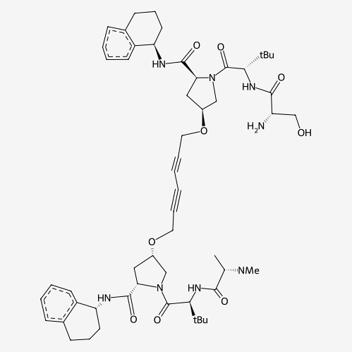 CN[C@@H](C)C(=O)N[C@H](C(=O)N1C[C@@H](OCC#CC#CCO[C@H]2C[C@@H](C(=O)N[C@@H]3CCCc4ccccc43)N(C(=O)[C@@H](NC(=O)[C@@H](N)CO)C(C)(C)C)C2)C[C@H]1C(=O)N[C@@H]1CCCc2ccccc21)C(C)(C)C